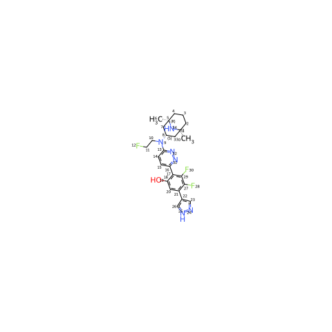 C[C@]12CCC[C@](C)(C[C@@H](N(CCF)c3ccc(-c4c(O)cc(-c5cn[nH]c5)c(F)c4F)nn3)C1)N2